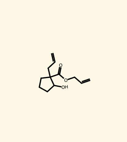 C=CCOC(=O)C1(CC=C)CCCC1O